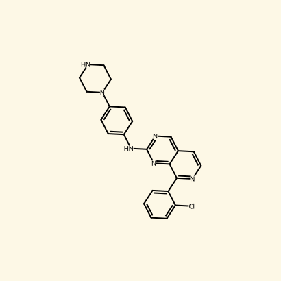 Clc1ccccc1-c1nccc2cnc(Nc3ccc(N4CCNCC4)cc3)nc12